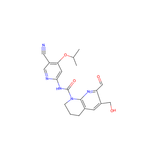 CC(C)Oc1cc(NC(=O)N2CCCc3cc(CO)c(C=O)nc32)ncc1C#N